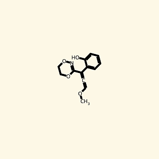 COC=C=C(C1=NOCCO1)c1ccccc1O